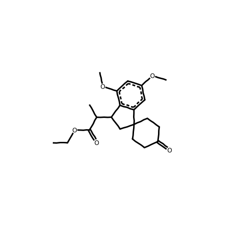 CCOC(=O)C(C)C1CC2(CCC(=O)CC2)c2cc(OC)cc(OC)c21